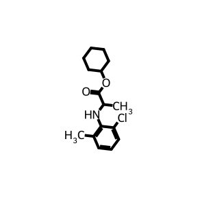 Cc1cccc(Cl)c1NC(C)C(=O)OC1CCCCC1